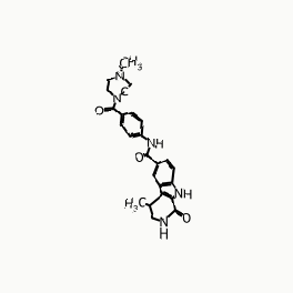 CC1CNC(=O)c2[nH]c3ccc(C(=O)Nc4ccc(C(=O)N5CCN(C)CC5)cc4)cc3c21